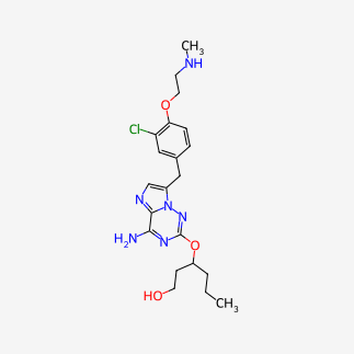 CCCC(CCO)Oc1nc(N)c2ncc(Cc3ccc(OCCNC)c(Cl)c3)n2n1